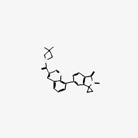 CN1C(=O)c2ccc(-c3cccc4cc(C(=O)N5CC(C)(F)C5)cnc34)cc2C12CC2